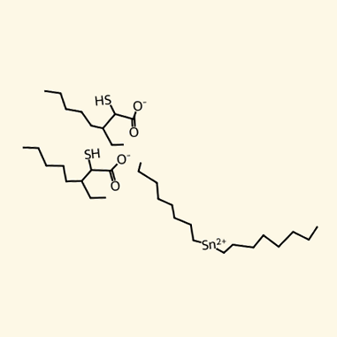 CCCCCC(CC)C(S)C(=O)[O-].CCCCCC(CC)C(S)C(=O)[O-].CCCCCCC[CH2][Sn+2][CH2]CCCCCCC